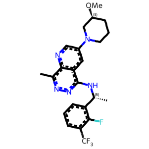 CO[C@H]1CCCN(c2cnc3c(C)nnc(N[C@H](C)c4cccc(C(F)(F)F)c4F)c3c2)C1